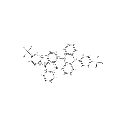 CC(C)(C)c1ccc(B2c3ccccc3N3c4ccc5c6cc(C(C)(C)C)ccc6n6c5c4B(c4ccccc4-6)c4cccc2c43)cc1